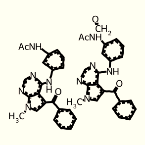 C=O.CC(=O)Nc1cccc(Nc2ncnc3c2c(C(=O)c2ccccc2)cn3C)c1.CC(=O)Nc1cccc(Nc2ncnc3c2c(C(=O)c2ccccc2)cn3C)c1